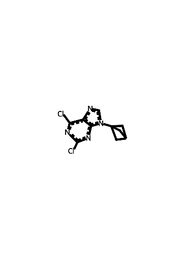 Clc1nc(Cl)c2ncn(C34CC(C3)C4)c2n1